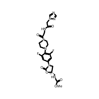 COC(=O)NC[C@H]1CN(c2cc(F)c(N3CCN(C(=O)CNC(=O)Cn4cncn4)CC3)c(F)c2)C(=O)O1